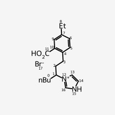 CCCCC(CCc1ccc(CC)cc1C(=O)O)[n+]1cc[nH]c1.[Br-]